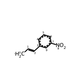 [CH2]C=Cc1cccc([N+](=O)[O-])c1